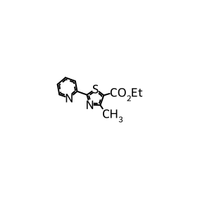 CCOC(=O)c1sc(-c2ccccn2)nc1C